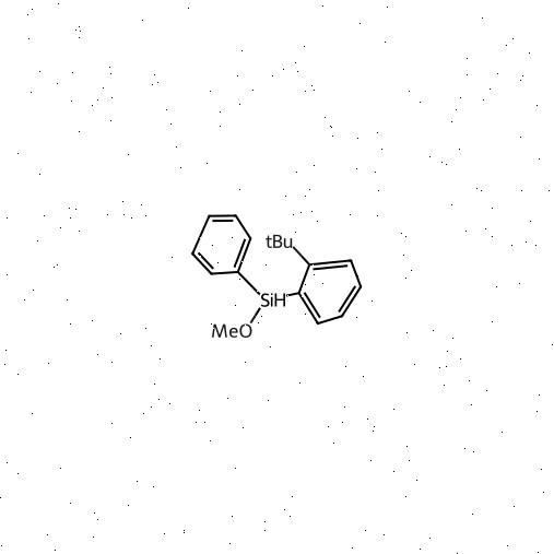 [CH2]O[SiH](c1ccccc1)c1ccccc1C(C)(C)C